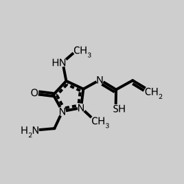 C=C/C(S)=N/c1c(NC)c(=O)n(CN)n1C